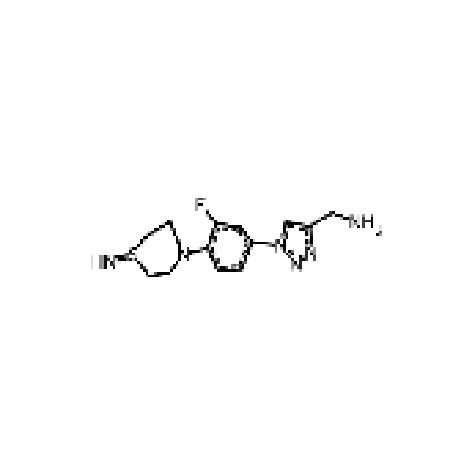 N=S1CCN(c2ccc(-n3cc(CN)nn3)cc2F)CC1